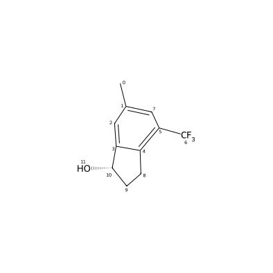 Cc1cc2c(c(C(F)(F)F)c1)CC[C@@H]2O